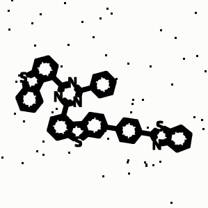 c1ccc(-c2nc(-c3cccc4sc5ccccc5c34)nc(-c3cccc4sc5cc(-c6ccc(-c7nc8ccccc8s7)cc6)ccc5c34)n2)cc1